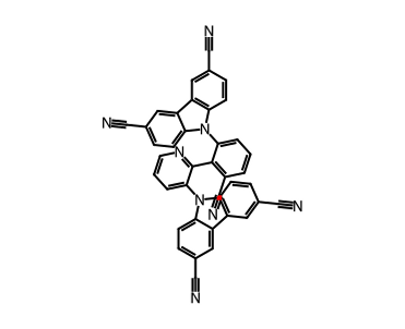 N#Cc1ccc2c(c1)c1cc(C#N)ccc1n2-c1cccnc1-c1c(C#N)cccc1-n1c2ccc(C#N)cc2c2cc(C#N)ccc21